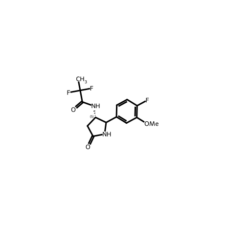 COc1cc(C2NC(=O)C[C@@H]2NC(=O)C(C)(F)F)ccc1F